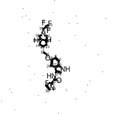 O=C(Nc1c[nH]c2ccc(OCC[C@@H]3C[C@@H]4CN(CC(F)(F)F)C[C@@H]4C3)cc12)c1nccs1